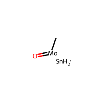 [CH3][Mo]=[O].[SnH2]